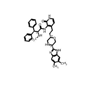 Cc1cc2nc([C@@H]3CO[C@H](CCc4cc[nH]c(=O)c4NC(=O)[C@@H](NC(=O)O)C(c4ccccc4)c4ccccc4)CN3)[nH]c2cc1C